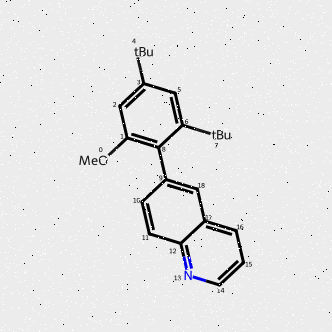 COc1cc(C(C)(C)C)cc(C(C)(C)C)c1-c1ccc2ncccc2c1